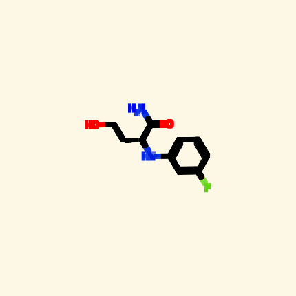 NC(=O)[C@@H](CCO)Nc1cccc(F)c1